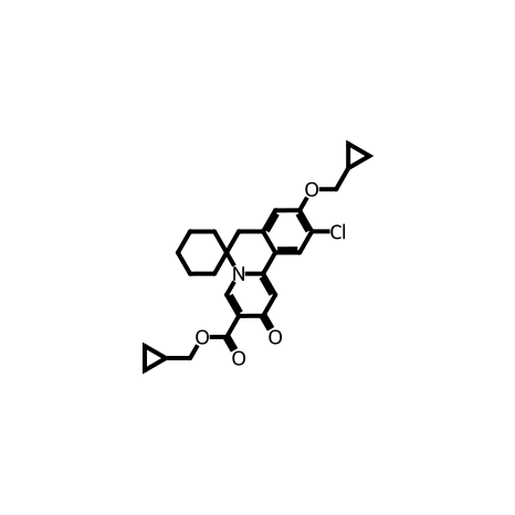 O=C(OCC1CC1)c1cn2c(cc1=O)-c1cc(Cl)c(OCC3CC3)cc1CC21CCCCC1